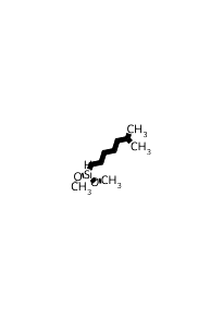 CO[SiH](CCCCCC(C)C)OC